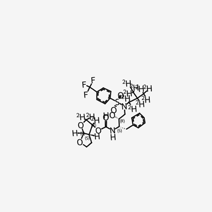 [2H]C([2H])([2H])C([2H])(C([2H])([2H])[2H])C([2H])([2H])N(C[C@@H](O)[C@H](Cc1ccccc1)NC(=O)O[C@]1([2H])[C@@H]2CCO[C@@H]2OC1([2H])[2H])S(=O)(=O)c1ccc(C(F)(F)F)cc1